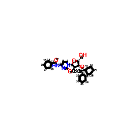 CC(C)(C)[Si](O[C@H]1C[C@H](n2ccc(NC(=O)c3ccccc3)nc2=O)O[C@@H]1CO)(c1ccccc1)c1ccccc1